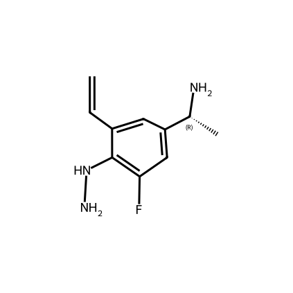 C=Cc1cc([C@@H](C)N)cc(F)c1NN